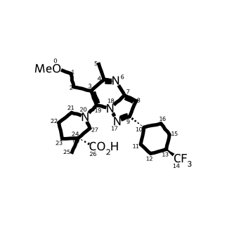 COCCc1c(C)nc2cc([C@H]3CC[C@H](C(F)(F)F)CC3)nn2c1N1CCC[C@@](C)(C(=O)O)C1